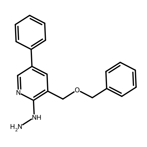 NNc1ncc(-c2ccccc2)cc1COCc1ccccc1